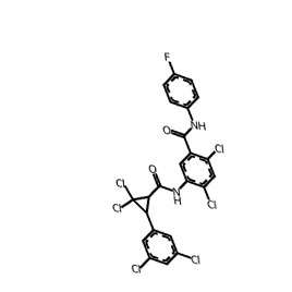 O=C(Nc1ccc(F)cc1)c1cc(NC(=O)C2C(c3cc(Cl)cc(Cl)c3)C2(Cl)Cl)c(Cl)cc1Cl